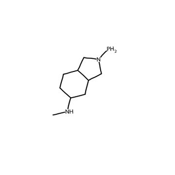 CNC1CCC2CN(P)CC2C1